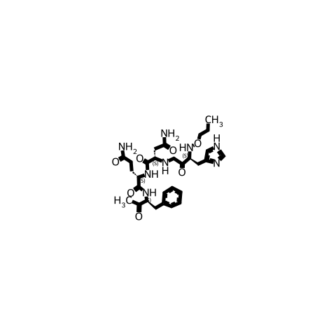 CCCON[C@@H](Cc1c[nH]cn1)C(=O)CN[C@@H](CC(N)=O)C(=O)N[C@@H](CCC(N)=O)C(=O)N[C@@H](Cc1ccccc1)C(C)=O